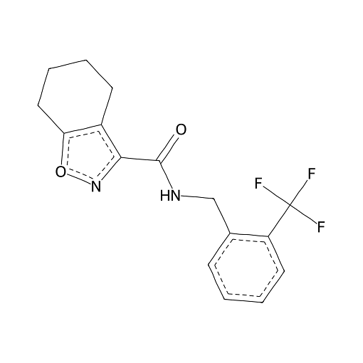 O=C(NCc1ccccc1C(F)(F)F)c1noc2c1CCCC2